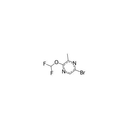 Cc1nc(Br)cnc1OC(F)F